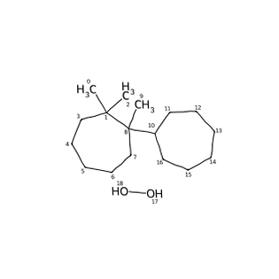 CC1(C)CCCCCC1(C)C1CCCCCC1.OO